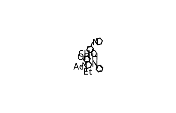 CCC1CC(Nc2ccccc2)c2cc(-c3ccc(CN4CCCCC4)cc3)ccc2N1C(C)=O.O=CO